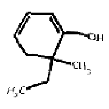 CCC1(C)CC=CC=C1O